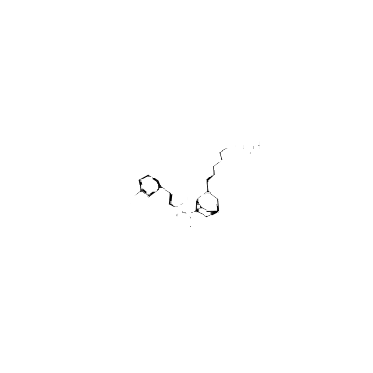 O=C(O)CCCC=CC1CC2CCC1C(NS(=O)(=O)C=Cc1cccc(C(F)(F)F)c1)C2